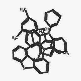 Cc1cc(C)c(B(c2c(C)cc(C)cc2C)c2cccc3sc4cccc(N5c6ccccc6N(c6ccccc6)c6ccccc65)c4c23)c(C)c1